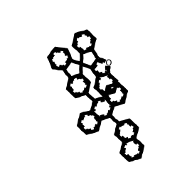 c1ccc2c(c1)-c1ccc(-c3c4ccccc4c(-c4ccc5ccccc5c4)c4ccccc34)cc1C21c2ccccc2-c2oc3ccccc3c21